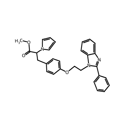 COC(=O)C(Cc1ccc(OCCn2c(-c3ccccc3)nc3ccccc32)cc1)n1cccc1